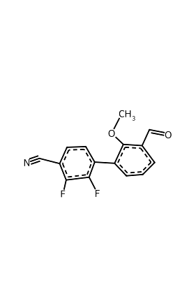 COc1c(C=O)cccc1-c1ccc(C#N)c(F)c1F